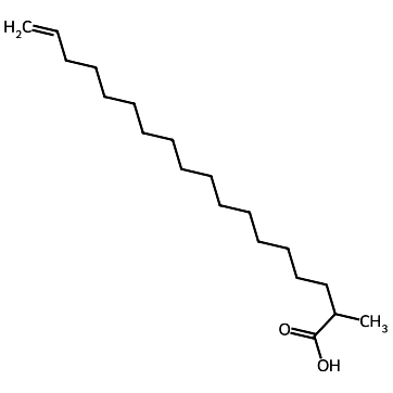 C=CCCCCCCCCCCCCCCC(C)C(=O)O